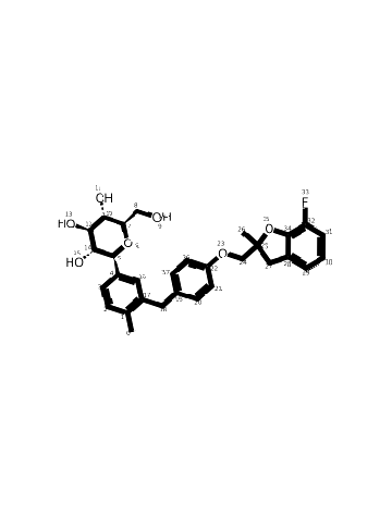 Cc1ccc([C@@H]2O[C@H](CO)[C@@H](O)[C@H](O)[C@H]2O)cc1Cc1ccc(OCC2(C)Cc3cccc(F)c3O2)cc1